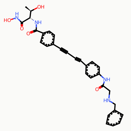 C[C@@H](O)[C@H](NC(=O)c1ccc(C#CC#Cc2ccc(NC(=O)CNCc3ccccc3)cc2)cc1)C(=O)NO